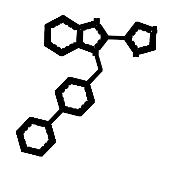 c1ccc(-c2ccc(Cn3c(-c4cscn4)nc4ccccc43)cc2)cc1